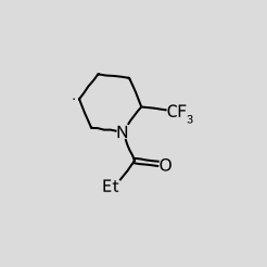 CCC(=O)N1C[CH]CCC1C(F)(F)F